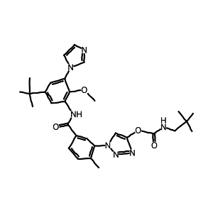 COc1c(NC(=O)c2ccc(C)c(-n3cc(OC(=O)NCC(C)(C)C)nn3)c2)cc(C(C)(C)C)cc1-n1ccnc1